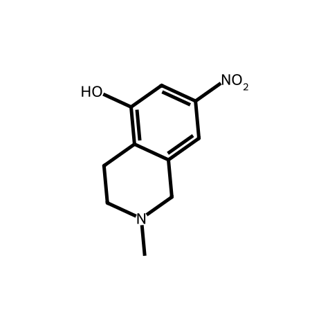 CN1CCc2c(O)cc([N+](=O)[O-])cc2C1